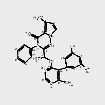 Cc1ccn2nc([C@H](C)Nc3ncnc(N)c3-c3cc(O)cc(F)c3)n(-c3ccccc3)c(=O)c12